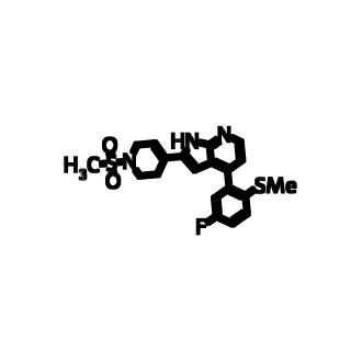 CSc1ccc(F)cc1-c1ccnc2[nH]c(C3=CCN(S(C)(=O)=O)CC3)cc12